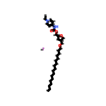 CCCCCCCCCCCCCCCCCCOCC1COC(COC(=O)Nc2cc[n+](CC)cc2)C1.[I-]